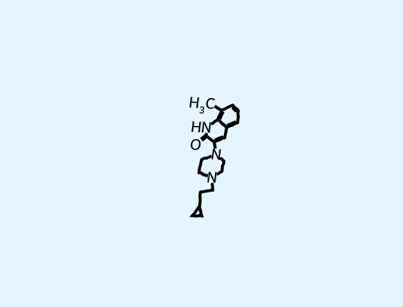 Cc1cccc2cc(N3CCN(CCC4CC4)CC3)c(=O)[nH]c12